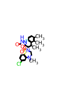 Cc1ccc(F)c([C@@H](C)[C@@H](c2n[nH]c(=O)o2)N2CCN(C)c3cc(Cl)ccc3S2(=O)=O)c1C